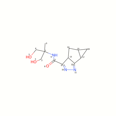 CC(CO)(CO)NC(=O)C1=NN=C2C1CC1CC21